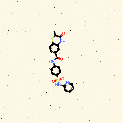 CC1Sc2ccc(C(=O)Nc3ccc(S(=O)(=O)Nc4ccccn4)cc3)cc2NC1=O